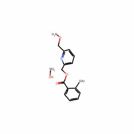 CC(=O)Oc1ccccc1C(=O)OCc1cccc(CO[N+](=O)[O-])n1.O=[N+]([O-])O